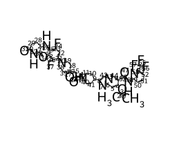 CC(C)Oc1cc2nc(C3CCN(C(=O)CC4(O)CCN(c5cc(F)c(NC6CCC(=O)NC6=O)cc5F)CC4)CC3)cn2cc1C(=O)Nc1cccc(C(F)(F)F)n1